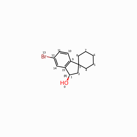 O[C@@H]1CC2(CCCCC2)c2ccc(Br)cc21